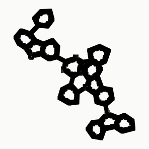 c1ccc(-c2nc(-c3ccc4c(c3)oc3cccc(-c5ccccc5)c34)nc(-c3ccccc3-n3c4ccccc4c4ccc(-n5c6ccccc6c6ccccc65)cc43)n2)cc1